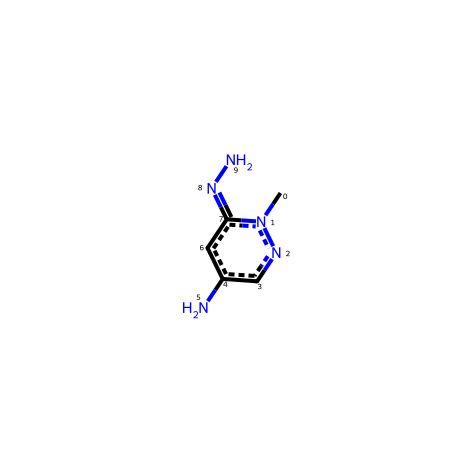 Cn1ncc(N)cc1=NN